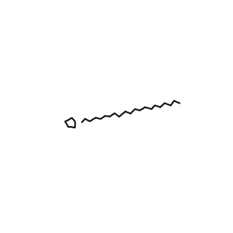 C1CCCC1.CCCCCCCCCCCCCCCCCCCCC